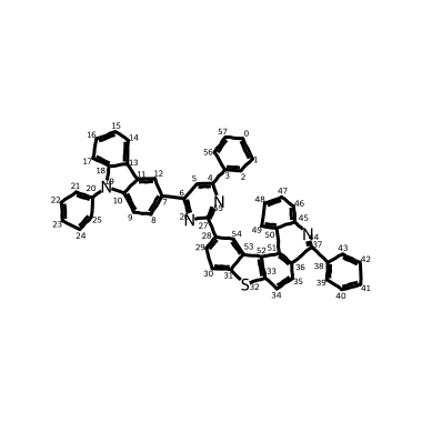 c1ccc(-c2cc(-c3ccc4c(c3)c3ccccc3n4-c3ccccc3)nc(-c3ccc4sc5ccc6c(-c7ccccc7)nc7ccccc7c6c5c4c3)n2)cc1